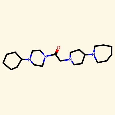 O=C(CN1CCC(N2CCCCCC2)CC1)N1CCN(C2CCCCC2)CC1